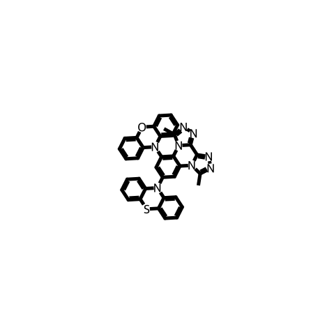 Cc1nnc2c3nnc(C)n3c3c(N4c5ccccc5Oc5ccccc54)cc(N4c5ccccc5Sc5ccccc54)cc3n12